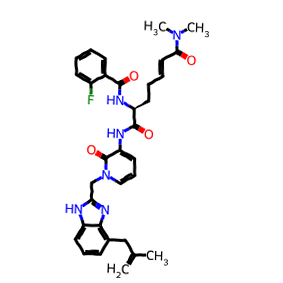 C=C(C)Cc1cccc2[nH]c(Cn3cccc(NC(=O)[C@H](CC/C=C/C(=O)N(C)C)NC(=O)c4ccccc4F)c3=O)nc12